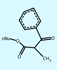 CCCCOC(=O)C(C)C(=O)c1ccccc1